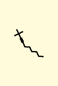 CCCCCCC#CC(C)(C)C